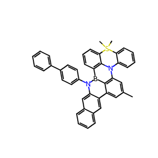 Cc1cc2c3c(c1)N1c4ccccc4S(C)(C)c4cccc(c41)B3N(c1ccc(-c3ccccc3)cc1)c1cc3ccccc3cc1-2